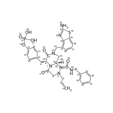 C=CCN1CC(=O)N2[C@@H](Cc3ccc(OP(=O)(O)O)cc3)C(=O)N(Cc3cccc4sc(N)nc34)C[C@@H]2N1C(=O)NCc1ccccc1